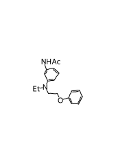 CCN(CCOc1ccccc1)c1cccc(NC(C)=O)c1